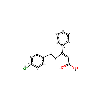 O=C(O)/C=C(\CCc1ccc(Cl)cc1)c1ccccc1